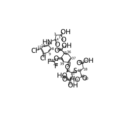 O=C(O)CC(=O)Nc1ccc(Cl)c(Cl)c1.O=C(O)CC(SC(CC(=O)O)C(=O)O)C(=O)O.O=C(O)c1ccccc1OC(F)F